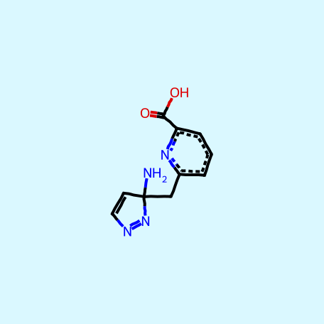 NC1(Cc2cccc(C(=O)O)n2)C=CN=N1